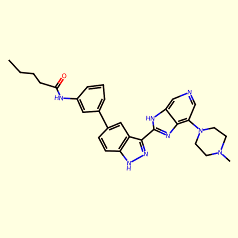 CCCCC(=O)Nc1cccc(-c2ccc3[nH]nc(-c4nc5c(N6CCN(C)CC6)cncc5[nH]4)c3c2)c1